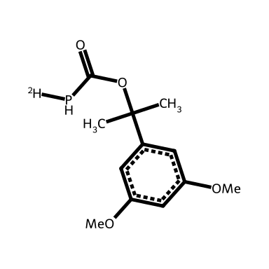 [2H]PC(=O)OC(C)(C)c1cc(OC)cc(OC)c1